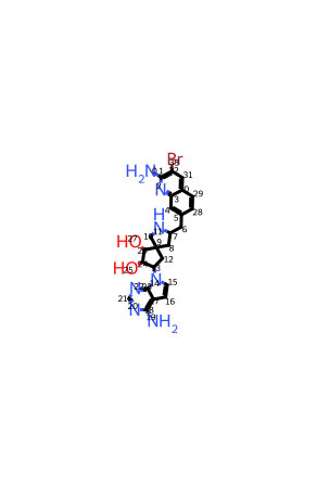 Nc1nc2cc(CC3CC4(CN3)CC(n3ccc5c(N)ncnc53)C(O)C4O)ccc2cc1Br